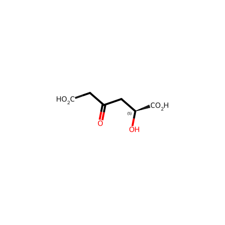 O=C(O)CC(=O)C[C@H](O)C(=O)O